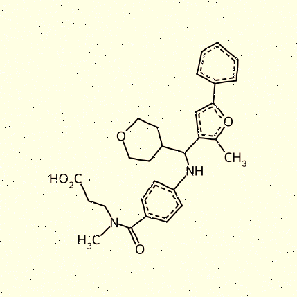 Cc1oc(-c2ccccc2)cc1C(Nc1ccc(C(=O)N(C)CCC(=O)O)cc1)C1CCOCC1